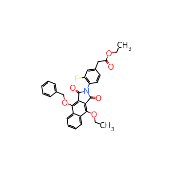 CCOC(=O)Cc1ccc(N2C(=O)c3c(c(OCc4ccccc4)c4ccccc4c3OCC)C2=O)c(F)c1